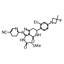 CCc1cc(N2CC(C)(F)C2)ccc1C1Cc2nn(C3=NC=C(C#N)CC3)c(NC(=O)CSC)c2C(=O)N1